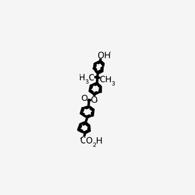 CC(C)(c1ccc(O)cc1)c1ccc(OC(=O)c2ccc(-c3ccc(C(=O)O)cc3)cc2)cc1